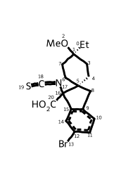 CC[C@]1(OC)CC[C@]2(CC1)Cc1ccc(Br)cc1C2(N=C=S)C(=O)O